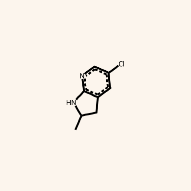 CC1Cc2cc(Cl)cnc2N1